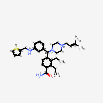 CCc1c(C(N)=O)ccc([C@@H](c2cccc(NCc3cccs3)c2)N2CCN(CC=C(C)C)CC2)c1CC